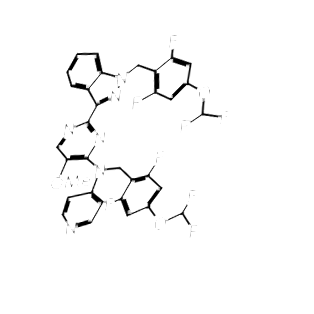 COc1cnc(-c2nn(Cc3c(F)cc(OC(F)F)cc3F)c3ccccc23)nc1N(Cc1c(F)cc(OC(F)F)cc1F)c1ccncc1